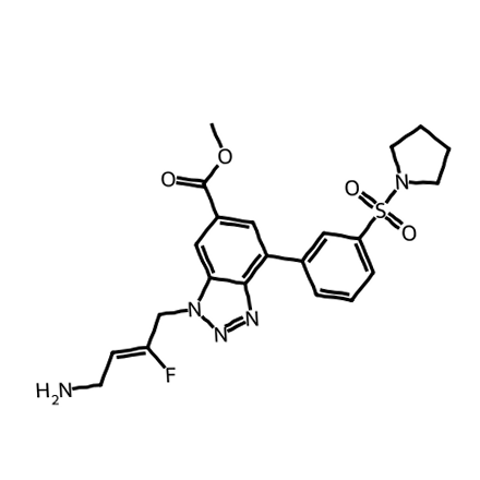 COC(=O)c1cc(-c2cccc(S(=O)(=O)N3CCCC3)c2)c2nnn(C/C(F)=C/CN)c2c1